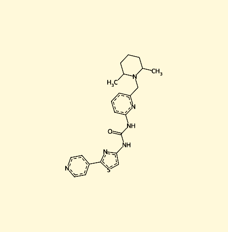 CC1CCCC(C)N1Cc1cccc(NC(=O)Nc2csc(-c3ccncc3)n2)n1